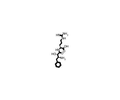 N=C(N)NCCC[C@H](NC(=O)[C@@H](O)[C@@H](N)Cc1ccccc1)C(=O)O